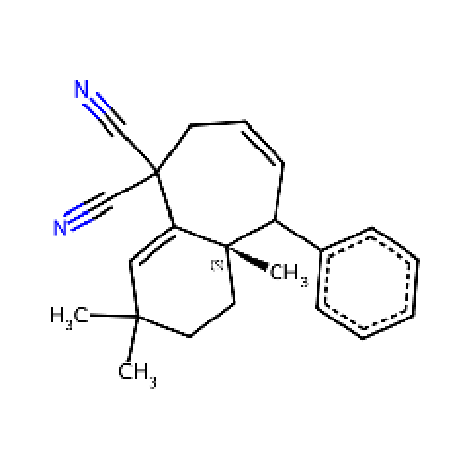 CC1(C)C=C2C(C#N)(C#N)CC=CC(c3ccccc3)[C@]2(C)CC1